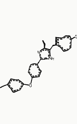 Cc1nc(-c2ccc(Oc3ccc(F)cc3)cc2)[nH]c1-c1ccc(Cl)cc1